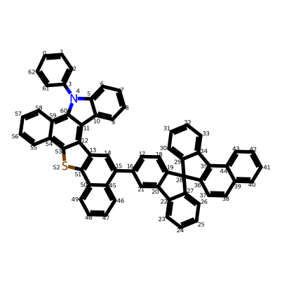 c1ccc(-n2c3ccccc3c3c4c5cc(-c6ccc7c(c6)-c6ccccc6C76c7ccccc7-c7c6ccc6ccccc76)c6ccccc6c5sc4c4ccccc4c32)cc1